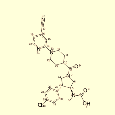 CN(C(=O)O)[C@@H]1CN(C(=O)C2CCN(c3cc(C#N)ccn3)CC2)C[C@H]1c1ccc(Cl)cc1